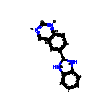 c1ccc2c(c1)NC(c1ccc3ncncc3c1)N2